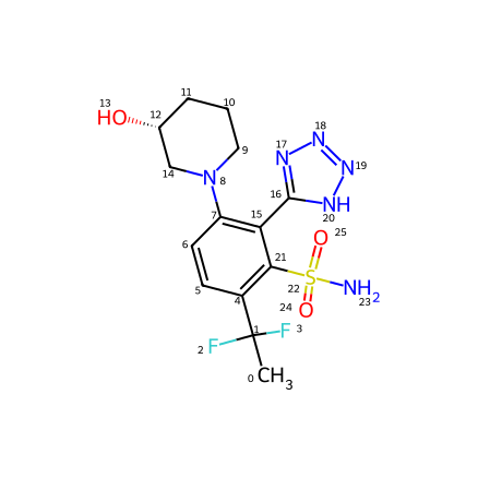 CC(F)(F)c1ccc(N2CCC[C@@H](O)C2)c(-c2nnn[nH]2)c1S(N)(=O)=O